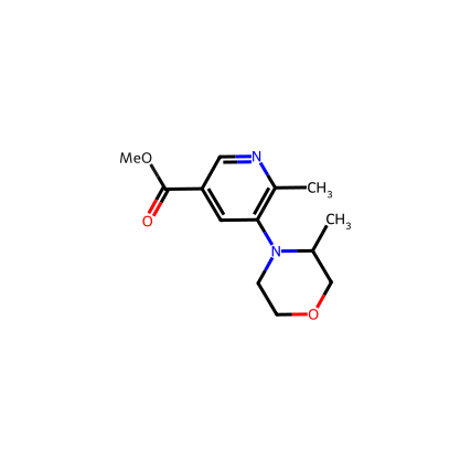 COC(=O)c1cnc(C)c(N2CCOCC2C)c1